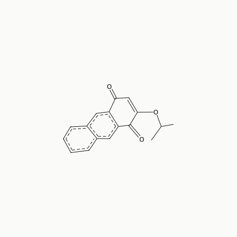 CC(C)OC1=CC(=O)c2cc3ccccc3cc2C1=O